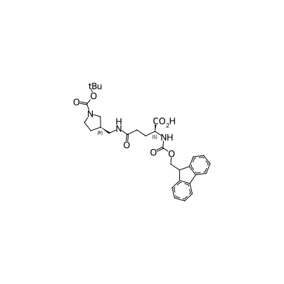 CC(C)(C)OC(=O)N1CC[C@H](CNC(=O)CC[C@H](NC(=O)OCC2c3ccccc3-c3ccccc32)C(=O)O)C1